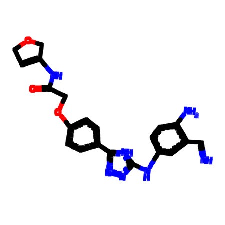 N=Cc1cc(Nc2nnc(-c3ccc(OCC(=O)NC4=CCOC4)cc3)[nH]2)ccc1N